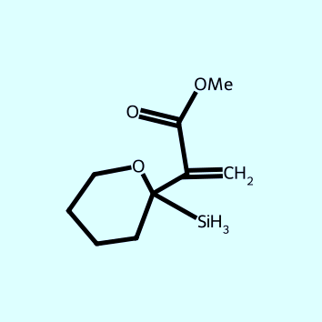 C=C(C(=O)OC)C1([SiH3])CCCCO1